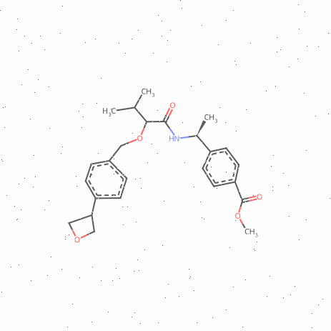 COC(=O)c1ccc([C@H](C)NC(=O)C(OCc2ccc(C3COC3)cc2)C(C)C)cc1